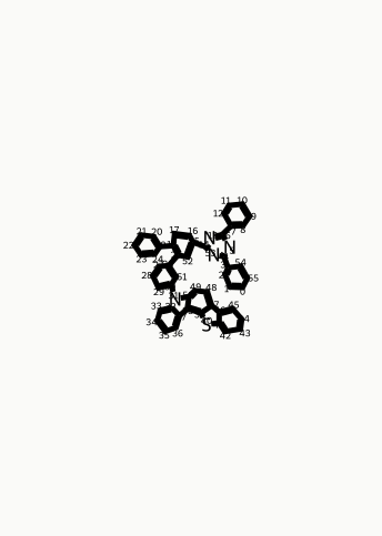 c1ccc(-c2nc(-c3ccccc3)nc(-c3ccc(-c4ccccc4)c(-c4cccc(-n5c6ccccc6c6c7sc8ccccc8c7ccc65)c4)c3)n2)cc1